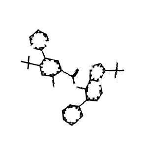 BC(B)(O)c1cnc2c(NC(=O)c3cc(-c4ncccn4)c(C(F)(F)F)cc3F)c(-c3ccccc3)ccn12